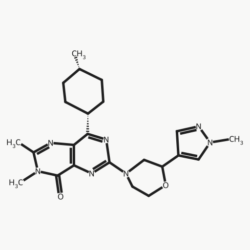 Cc1nc2c(nc(N3CCOC(c4cnn(C)c4)C3)nc2[C@H]2CC[C@@H](C)CC2)c(=O)n1C